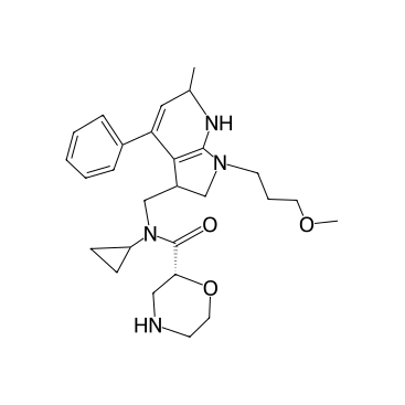 COCCCN1CC(CN(C(=O)[C@H]2CNCCO2)C2CC2)C2=C1NC(C)C=C2c1ccccc1